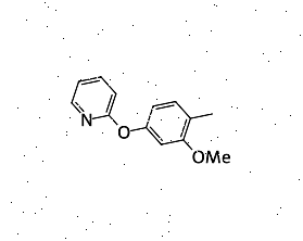 COc1cc(Oc2ccccn2)ccc1C